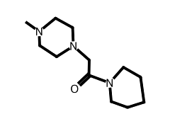 CN1CCN(CC(=O)N2CCCCC2)CC1